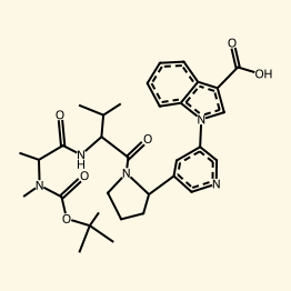 CC(C)C(NC(=O)C(C)N(C)C(=O)OC(C)(C)C)C(=O)N1CCCC1c1cncc(-n2cc(C(=O)O)c3ccccc32)c1